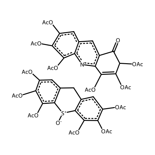 CC(=O)OC1=C(OC(C)=O)C(OC(C)=O)C(=O)c2cc3cc(OC(C)=O)c(OC(C)=O)c(OC(C)=O)c3nc21.CC(=O)Oc1cc2c(c(OC(C)=O)c1OC(C)=O)[S+]([O-])c1c(cc(OC(C)=O)c(OC(C)=O)c1OC(C)=O)C2